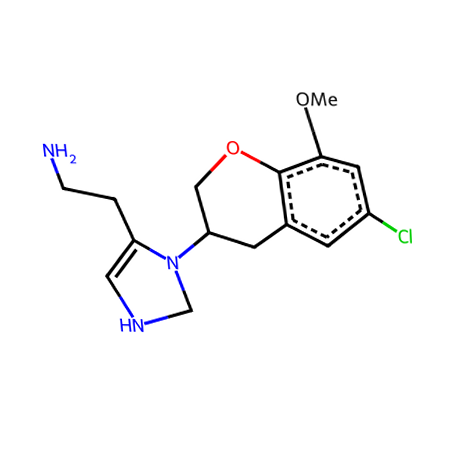 COc1cc(Cl)cc2c1OCC(N1CNC=C1CCN)C2